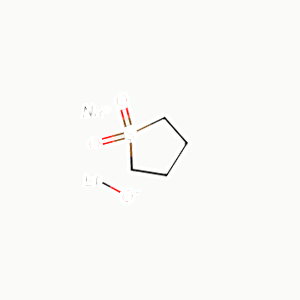 CC[O-].O=S1(=O)CCCC1.[Na+]